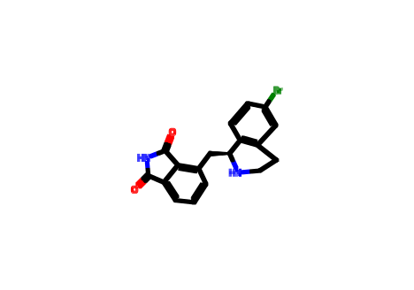 O=C1NC(=O)c2c(C[C@@H]3NCCc4cc(Br)ccc43)cccc21